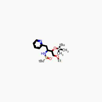 CCOCC(O[Si](C)(C)C(C)(C)C)C(Cc1ccccn1)N[S@+]([O-])C(C)(C)C